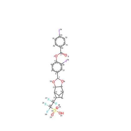 O=C(Oc1ccc(C2OC3C4CC(C3O2)C(C(F)(F)C(F)(F)S(=O)(=O)O)C4)cc1I)c1ccc(I)cc1